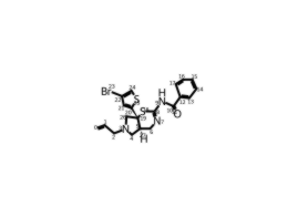 C=CCN1C[C@@H]2CN=C(NC(=O)c3ccccc3)S[C@@]2(c2cc(Br)cs2)C1